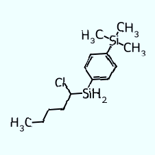 CCCCC(Cl)[SiH2]c1ccc([Si](C)(C)C)cc1